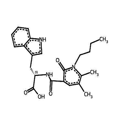 CCCCn1c(C)c(C)cc(C(=O)N[C@@H](Cc2c[nH]c3ccccc23)C(=O)O)c1=O